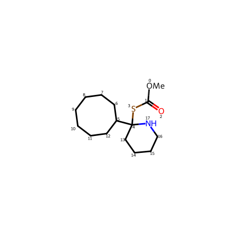 COC(=O)SC1(C2CCCCCCC2)CCCCN1